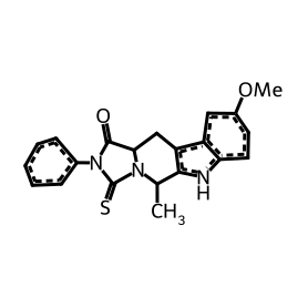 COc1ccc2[nH]c3c(c2c1)CC1C(=O)N(c2ccccc2)C(=S)N1C3C